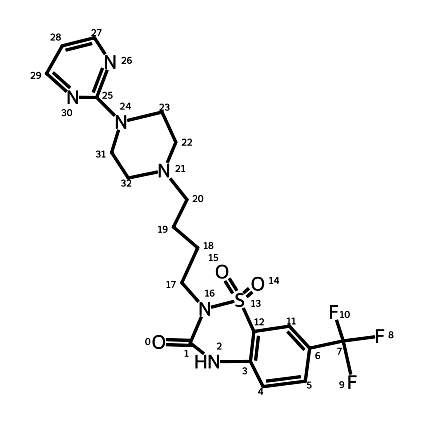 O=C1Nc2ccc(C(F)(F)F)cc2S(=O)(=O)N1CCCCN1CCN(c2ncccn2)CC1